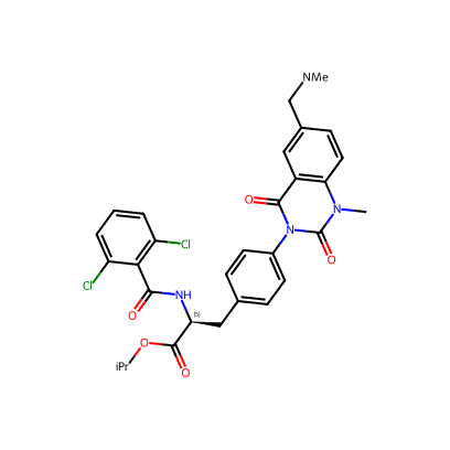 CNCc1ccc2c(c1)c(=O)n(-c1ccc(C[C@H](NC(=O)c3c(Cl)cccc3Cl)C(=O)OC(C)C)cc1)c(=O)n2C